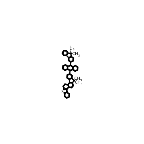 CC1(C)c2ccccc2-c2cc(-c3c4ccccc4c(-c4ccc5c(c4)C(C)(C)c4ccc6c(ccc7sc8ccccc8c76)c4-5)c4ccccc34)ccc21